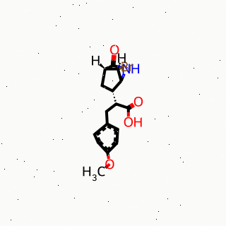 COc1ccc(CC(C(=O)O)[C@@H]2C[C@@H]3C(=O)NC2[C@@H]3Br)cc1